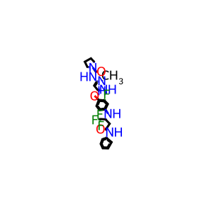 CN/C(=C\C(=N)Oc1ccc(NC(CC(=O)Nc2ccccc2)C(F)(F)F)cc1F)NC(=O)N1CCCC1